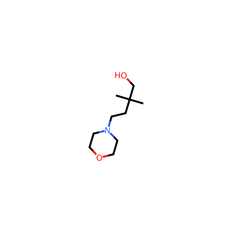 CC(C)(CO)CCN1CCOCC1